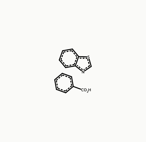 O=C(O)c1ccccc1.c1ccc2scnc2c1